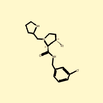 CC[C@H]1CCN(CC2CCCN2)[C@@H]1C(=O)NCc1cccc(Cl)c1